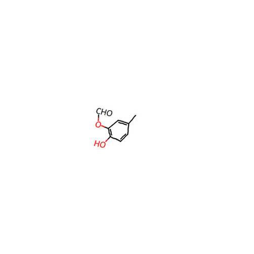 Cc1ccc(O)c(OC=O)c1